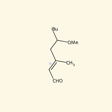 CCC(C)C(C/C(C)=C/C=O)OC